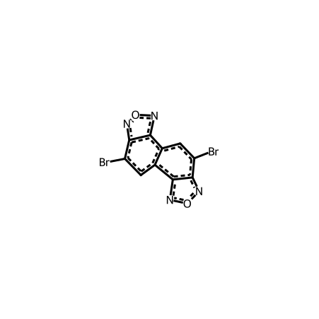 Brc1cc2c(cc(Br)c3nonc32)c2nonc12